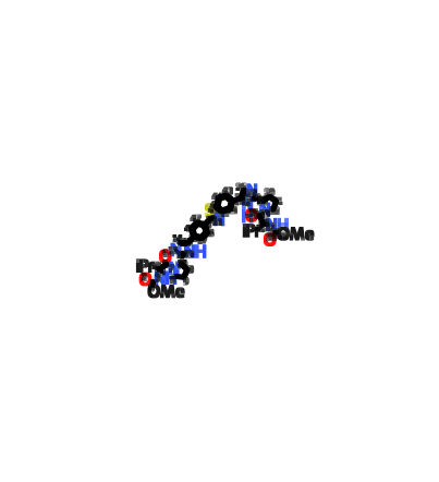 COC(=O)N[C@H](C(=O)N1CCC[C@H]1c1ncc(-c2ccc(-c3nc4cc(-c5cnc([C@@H]6CCCN6C(=O)[C@@H](NC(=O)OC)C(C)C)[nH]5)ccc4s3)cc2)[nH]1)C(C)C